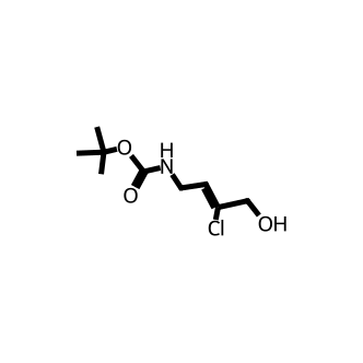 CC(C)(C)OC(=O)NCC=C(Cl)CO